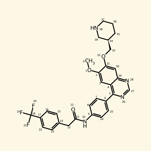 COc1cc2c(-c3ccc(NC(=O)Cc4ccc(C(F)(F)F)cc4)cc3)ncnc2cc1OC[C@@H]1CCCNC1